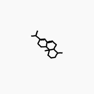 C[C]1CCCC2(C)C1CC=C1C=C(C(C)C)CCC12